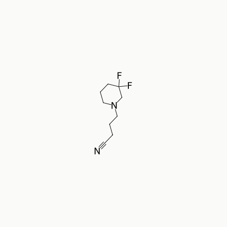 N#CCCCN1CCCC(F)(F)C1